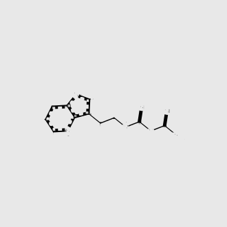 N=C(N)NC(=N)NCCc1c[nH]c2cccnc12